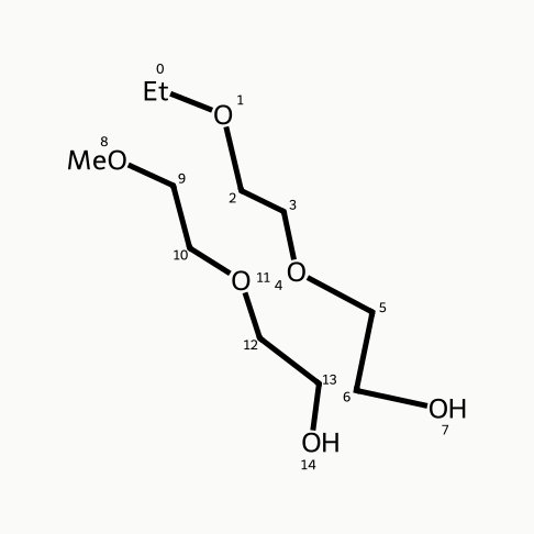 CCOCCOCCO.COCCOCCO